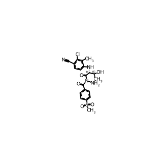 Cc1c(N[C@@H](C(=O)N(N)C(=O)c2ccc(S(C)(=O)=O)cc2)[C@H](C)O)ccc(C#N)c1Cl